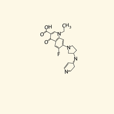 CCn1cc(C(=O)O)c(=O)c2cc(F)c(N3CCC(N=C4C=CN=CC4)C3)cc21